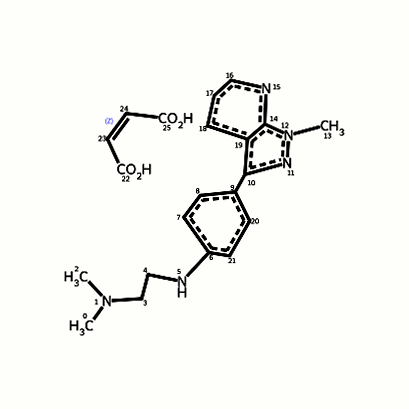 CN(C)CCNc1ccc(-c2nn(C)c3ncccc23)cc1.O=C(O)/C=C\C(=O)O